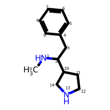 CNC(Cc1ccccc1)C1CCNC1